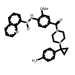 COc1cc(C(=O)N2CCN(C3(c4ccc(P)cc4)CC3)CC2)ccc1N[S+]([O-])c1cccc2cccnc12